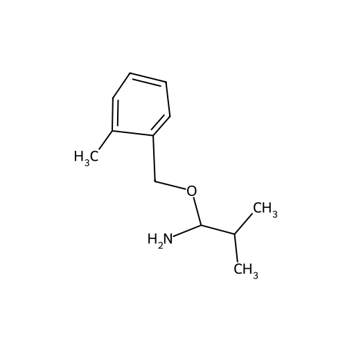 Cc1ccccc1COC(N)C(C)C